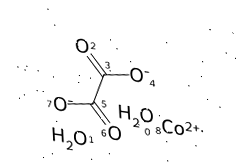 O.O.O=C([O-])C(=O)[O-].[Co+2]